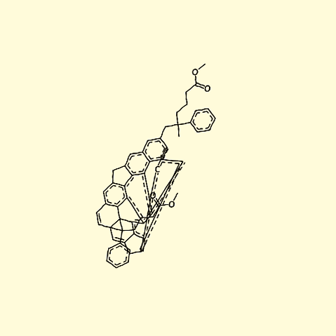 COC(=O)CCCC(C)(Cc1cc2cc3c4c5c(cc6c7c5c5c8c9c%10c(cc1c1c2c4c5c%101)CC9=CC1(C=C6)C(CCCC(=O)OC)(c2ccccc2)C781)C3)c1ccccc1